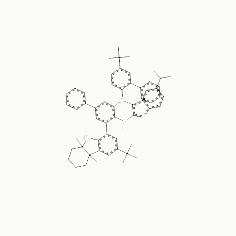 CC(C)c1ccc2sc3c(c2c1)N(c1ccc(C(C)(C)C)cc1-c1ccccc1)c1cc(-c2ccccc2)cc(-c2cc(C(C)(C)C)cc4c2NC2(C)CCCCC42C)c1B3